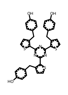 Oc1ccc(Cc2ccsc2-c2nc(-c3sccc3Cc3ccc(O)cc3)nc(-c3sccc3Cc3ccc(O)cc3)n2)cc1